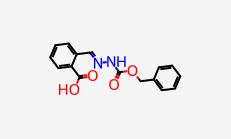 O=C(NN=Cc1ccccc1C(=O)O)OCc1ccccc1